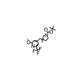 COc1cc(C[C@@]2(C)CCN(C(=O)OC(C)(C)C)C2)cc(C(F)(F)F)n1